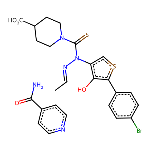 CC=NN(C(=S)N1CCC(C(=O)O)CC1)c1csc(-c2ccc(Br)cc2)c1O.NC(=O)c1ccncc1